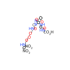 O=C(O)CNC(=O)c1cccc(Nc2cc(N3CCC[C@H](C(=O)NCCCOCCOCCOCCCNc4ccc([N+](=O)[O-])cc4[N+](=O)[O-])C3)c3noc4c3c2C(=O)c2ccccc2-4)c1